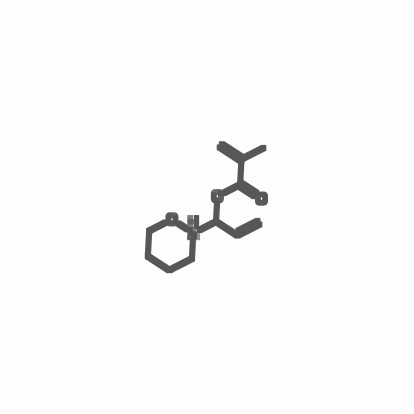 C=CC(OC(=O)C(=C)C)[SiH]1CCCCO1